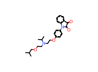 CC(C)COCCN(CCOc1ccc(N2C(=O)C(=O)c3ccccc32)cc1)C(C)C